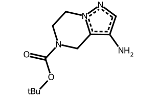 CC(C)(C)OC(=O)N1CCn2ncc(N)c2C1